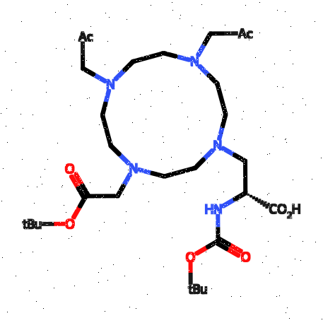 CC(=O)CN1CCN(CC(C)=O)CCN(C[C@@H](NC(=O)OC(C)(C)C)C(=O)O)CCN(CC(=O)OC(C)(C)C)CC1